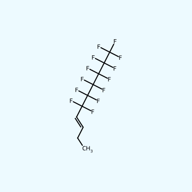 CCC=CC(F)(F)C(F)(F)C(F)(F)C(F)(F)C(F)(F)C(F)(F)F